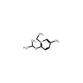 CC[n+]1cc(C)ccc1OC(C)C